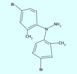 Cc1cc(Br)ccc1N(N)c1ccc(Br)cc1C